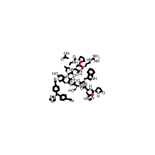 CC(=O)O.CCNC(=O)[C@@H]1CCCN1C(=O)[C@H](CCCNC(=N)N)NC(=O)[C@H](CC(C)C)NC(=O)[C@@H](CC(C)C)NC(=O)[C@H](Cc1ccc(O)cc1)NC(=O)[C@H](CO)NC(=O)[C@H](Cc1c[nH]c2ccccc12)NC(=O)[C@H](Cc1cnc[nH]1)NC(=O)[C@@H]1CCC(=O)N1.N#Cc1ccc(C(c2ccc(C#N)cc2)n2cncn2)cc1